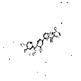 O=c1ccnc(Nc2nccc(-c3ccn([C@H](CO)c4ccc(Cl)c(F)c4)c(=O)c3)n2)[nH]1